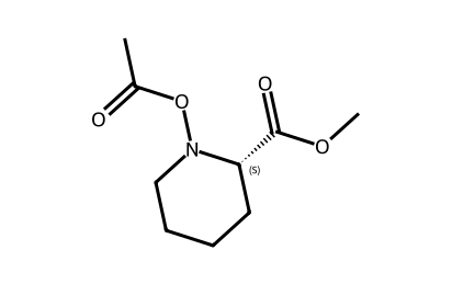 COC(=O)[C@@H]1CCCCN1OC(C)=O